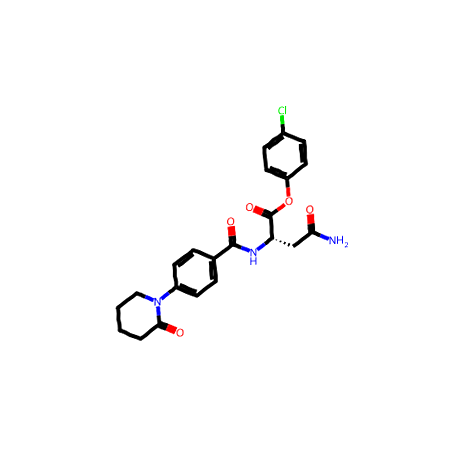 NC(=O)C[C@H](NC(=O)c1ccc(N2CCCCC2=O)cc1)C(=O)Oc1ccc(Cl)cc1